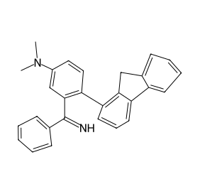 CN(C)c1ccc(-c2cccc3c2Cc2ccccc2-3)c(C(=N)c2ccccc2)c1